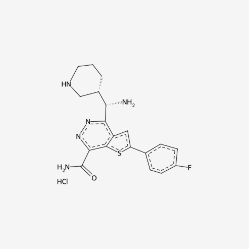 Cl.NC(=O)c1nnc([C@@H](N)[C@H]2CCCNC2)c2cc(-c3ccc(F)cc3)sc12